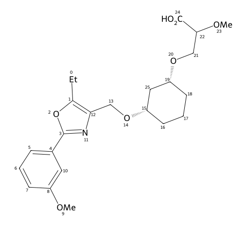 CCc1oc(-c2cccc(OC)c2)nc1CO[C@H]1CCC[C@@H](OCC(OC)C(=O)O)C1